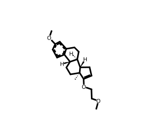 COCCOC1=CC[C@H]2[C@@H]3CCc4cc(OC)ccc4[C@H]3CC[C@]12C